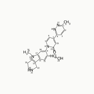 Cc1ccc(-c2ccn(-c3ccc4c5c(n(C)c4c3)CCNC5)c(=O)c2)nn1.Cl.Cl